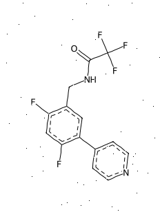 O=C(NCc1cc(-c2ccncc2)c(F)cc1F)C(F)(F)F